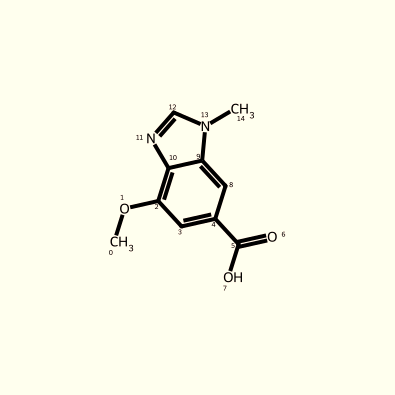 COc1cc(C(=O)O)cc2c1ncn2C